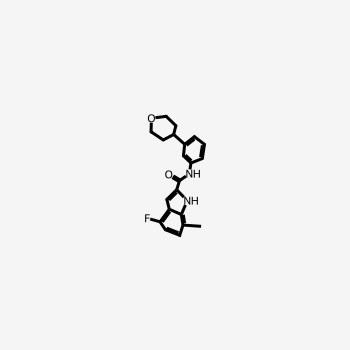 Cc1ccc(F)c2cc(C(=O)Nc3cccc(C4CCOCC4)c3)[nH]c12